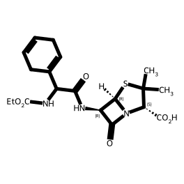 CCOC(=O)NC(C(=O)N[C@@H]1C(=O)N2[C@@H]1SC(C)(C)[C@@H]2C(=O)O)C1=CCC=CC1